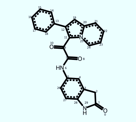 O=C1Cc2cc(NC(=O)C(=O)c3c(-c4ccccc4)cc4ccccn34)ccc2N1